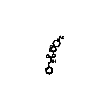 CC(=O)N1CCC2(CC1)CC(OC(=O)NCc1ccccc1)=NO2